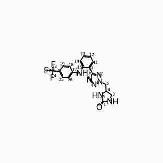 O=C1NCC(Cn2nnc(-c3ccccc3Nc3ccc(C(F)(F)F)cc3)n2)N1